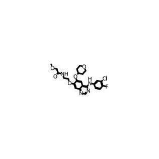 COCC(=O)NCCOc1cc2ncnc(Nc3ccc(F)c(Cl)c3)c2cc1OC1CCOCC1